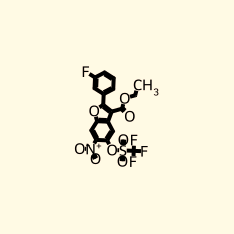 CCOC(=O)c1c(-c2cccc(F)c2)oc2cc([N+](=O)[O-])c(OS(=O)(=O)C(F)(F)F)cc12